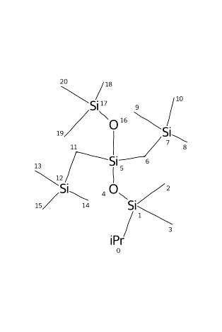 CC(C)[Si](C)(C)O[Si](C[Si](C)(C)C)(C[Si](C)(C)C)O[Si](C)(C)C